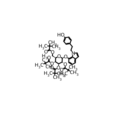 CC(C)(C)C(=O)OC[C@H]1O[C@@H](Oc2cccc3ccn(CCc4ccc(O)cc4)c23)[C@H](OC(=O)C(C)(C)C)[C@@H](OC(=O)C(C)(C)C)[C@@H]1OC(=O)C(C)(C)C